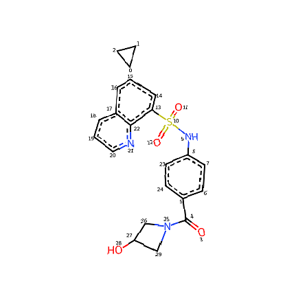 C1CC1.O=C(c1ccc(NS(=O)(=O)c2cccc3cccnc23)cc1)N1CC(O)C1